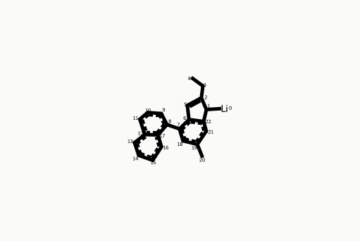 [Li][CH]1C(CC)=Cc2c(-c3cccc4ccccc34)cc(C)cc21